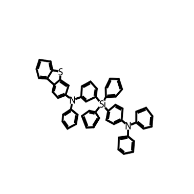 c1ccc(N(c2ccccc2)c2ccc([Si](c3ccccc3)(c3ccccc3)c3cccc(N(c4ccccc4)c4ccc5c(c4)sc4ccccc45)c3)cc2)cc1